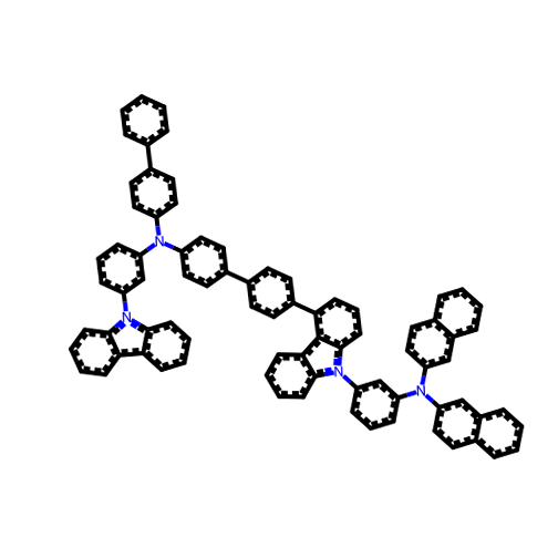 c1ccc(-c2ccc(N(c3ccc(-c4ccc(-c5cccc6c5c5ccccc5n6-c5cccc(N(c6ccc7ccccc7c6)c6ccc7ccccc7c6)c5)cc4)cc3)c3cccc(-n4c5ccccc5c5ccccc54)c3)cc2)cc1